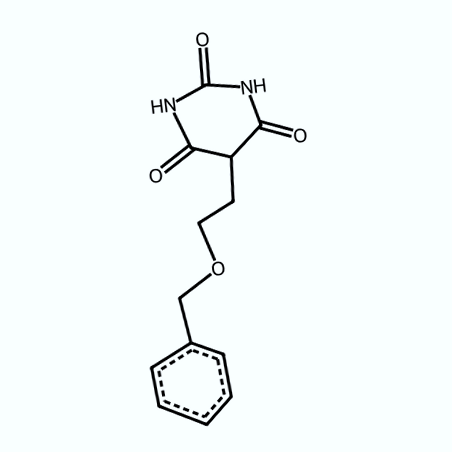 O=C1NC(=O)C(CCOCc2ccccc2)C(=O)N1